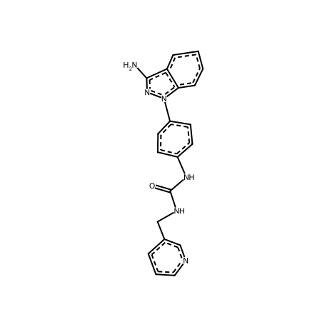 Nc1nn(-c2ccc(NC(=O)NCc3cccnc3)cc2)c2ccccc12